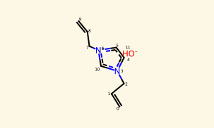 C=CCn1cc[n+](CC=C)c1.[OH-]